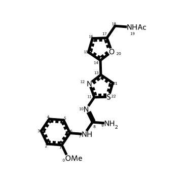 COc1ccccc1NC(N)=Nc1nc(-c2ccc(CNC(C)=O)o2)cs1